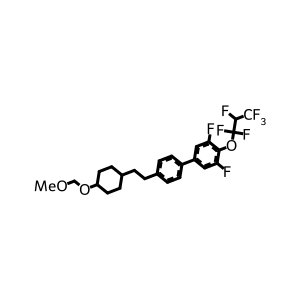 COCOC1CCC(CCc2ccc(-c3cc(F)c(OC(F)(F)C(F)C(F)(F)F)c(F)c3)cc2)CC1